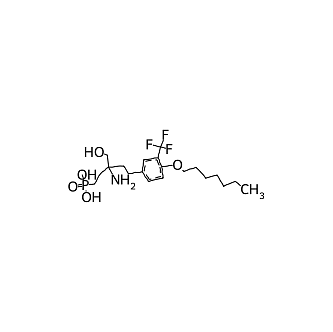 CCCCCCCOc1ccc(CCC(N)(CO)CCP(=O)(O)O)cc1C(F)(F)F